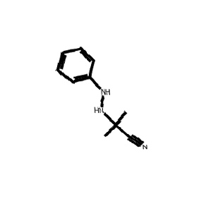 CC(C)(C#N)NNc1ccccc1